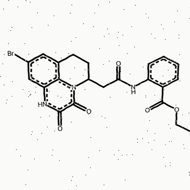 CCOC(=O)c1ccccc1NC(=O)CC1CCc2cc(Br)cc3[nH]c(=O)c(=O)n1c23